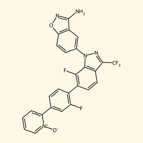 Nc1noc2ccc(-n3nc(C(F)(F)F)c4ccc(-c5ccc(-c6cccc[n+]6[O-])cc5F)c(F)c43)cc12